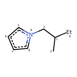 CCC(C)Cn1[c]ccc1